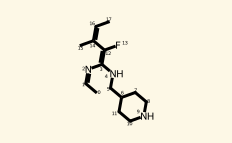 C\C=N/C(NCC1CCNCC1)=C(F)\C(C)=C/C